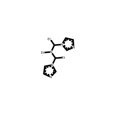 CCC(N(CC)C(CC)n1ccnc1)n1ccnc1